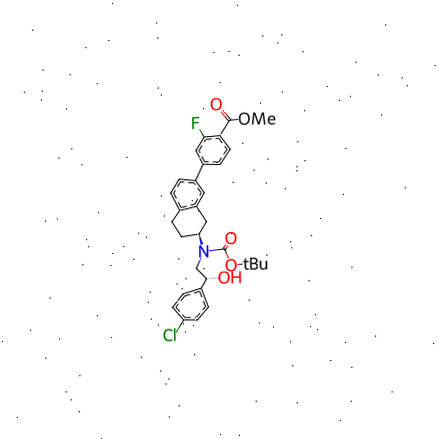 COC(=O)c1ccc(-c2ccc3c(c2)C[C@@H](N(C[C@H](O)c2ccc(Cl)cc2)C(=O)OC(C)(C)C)CC3)cc1F